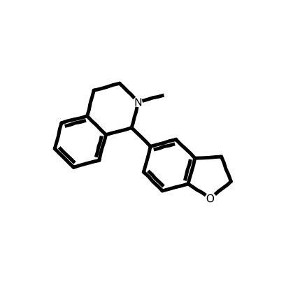 CN1CCc2ccccc2C1c1ccc2c(c1)CCO2